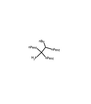 CCCCCC(CCCC)C(P)(CCCCC)CCCCC